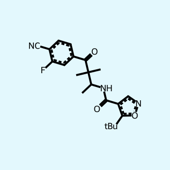 CC(NC(=O)c1cnoc1C(C)(C)C)C(C)(C)C(=O)c1ccc(C#N)c(F)c1